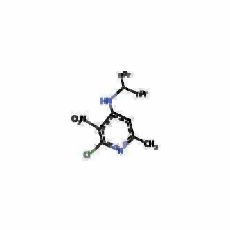 CCCC(CCC)Nc1cc(C)nc(Cl)c1[N+](=O)[O-]